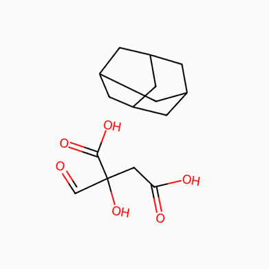 C1C2CC3CC1CC(C2)C3.O=CC(O)(CC(=O)O)C(=O)O